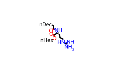 CCCCCCCCCCCC(=O)N[C@@H](CCCNC(=N)N)C(=O)OCCCCCC